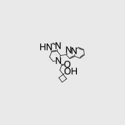 O=C(CC1(O)CCC1)N1CCc2[nH]cnc2C1c1cc2ccccn2n1